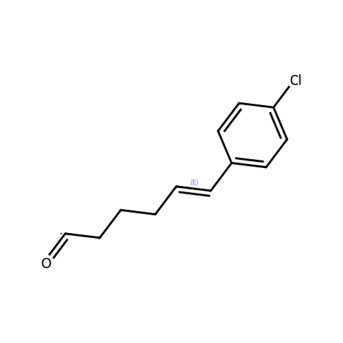 O=[C]CCC/C=C/c1ccc(Cl)cc1